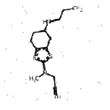 C#CCN(C)c1nc2c(s1)CC(NCCC)CC2